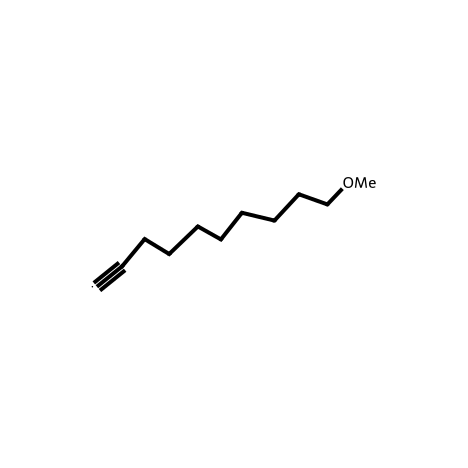 [C]#CCCCCCCCCOC